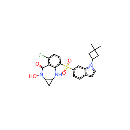 CC1(C)CC(n2ccc3ccc(S(=O)(=O)c4ccc(Cl)c5c4NC4CC4N(O)C5=O)cc32)C1